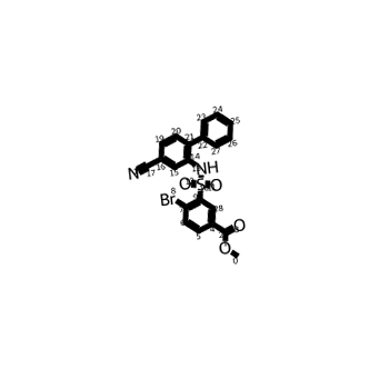 COC(=O)c1ccc(Br)c(S(=O)(=O)Nc2cc(C#N)ccc2-c2ccccc2)c1